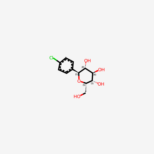 OC[C@@H]1O[C@@H](c2c[c]c(Cl)cc2)[C@H](O)[C@@H](O)[C@@H]1O